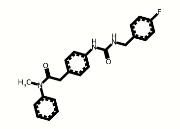 CN(C(=O)Cc1ccc(NC(=O)NCc2ccc(F)cc2)cc1)c1ccccc1